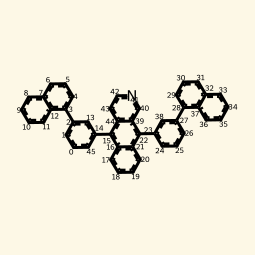 c1cc(-c2cccc3ccccc23)cc(-c2c3ccccc3c(-c3cccc(-c4cccc5ccccc45)c3)c3cnccc23)c1